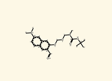 CN(COCOc1cc2cc(N(C)C)ccc2cc1C=O)C(=O)OC(C)(C)C